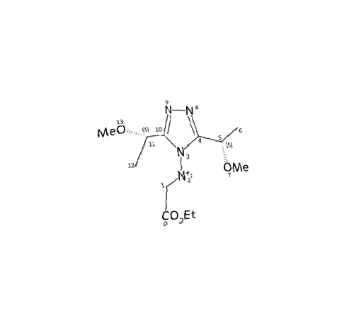 CCOC(=O)C[N+]n1c([C@H](C)OC)nnc1[C@H](C)OC